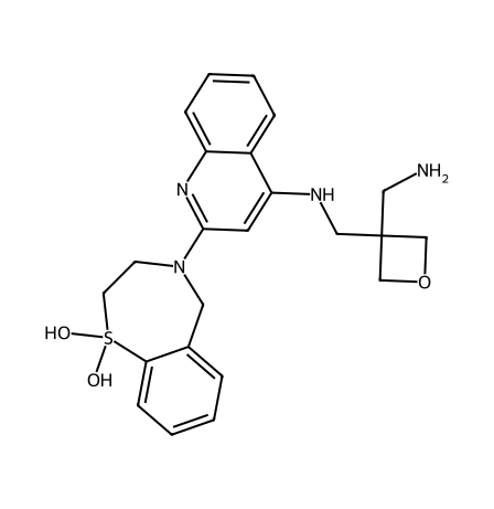 NCC1(CNc2cc(N3CCS(O)(O)c4ccccc4C3)nc3ccccc23)COC1